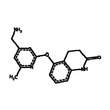 Cc1cc(CN)cc(Oc2cccc3c2CCC(=O)N3)n1